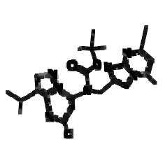 Cc1cc(C)n2cc(CN(C(=O)OC(C)(C)C)c3cc(Cl)nc4c(C(C)C)cnn34)nc2n1